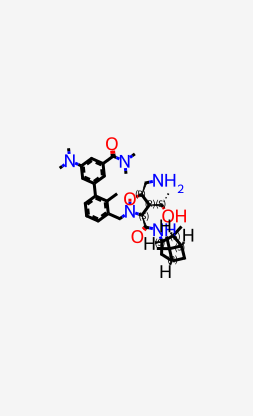 Cc1c(CN2O[C@@H](CN)[C@@H]([C@H](C)O)[C@H]2C(=O)N[C@H]2C[C@H]3C[C@@H]([C@@H]2C)C3(C)C)cccc1-c1cc(C(=O)N(C)C)cc(N(C)C)c1